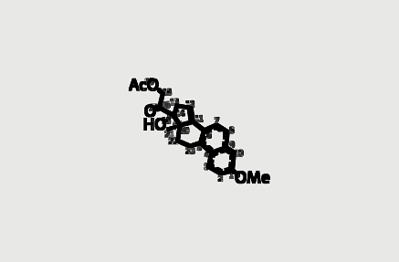 COc1ccc2c3c(ccc2c1)C1=CC[C@](O)(C(=O)COC(C)=O)[C@@]1(C)CC3